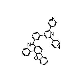 c1cc(-c2cc(-c3ccncc3)nc(-c3ccncc3)c2)cc(-c2nc3ccccc3c3c2ccc2c4ccccc4oc23)c1